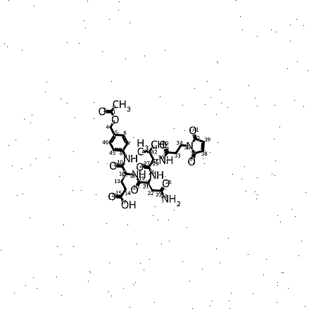 CC(=O)OCc1ccc(NC(=O)[C@H](CCC(=O)O)NC(=O)[C@H](CC(N)=O)NC(=O)[C@@H](NC(=O)CCN2C(=O)C=CC2=O)C(C)C)cc1